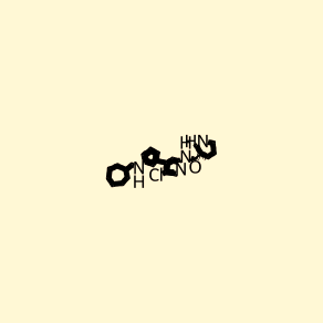 O=C(Nc1cc(-c2cccc(NCC3CCCCCC3)c2)c(Cl)cn1)[C@@H]1CCCNC1